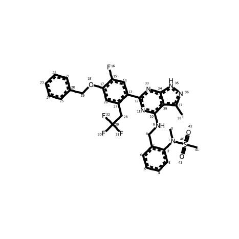 CN(c1ccccc1CNc1nc(-c2cc(F)c(OCc3ccccc3)cc2CC(F)(F)F)nc2[nH]nc(I)c12)S(C)(=O)=O